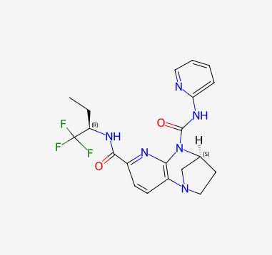 CC[C@@H](NC(=O)c1ccc2c(n1)N(C(=O)Nc1ccccn1)[C@H]1CCN2C1)C(F)(F)F